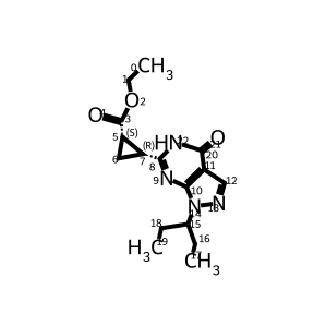 CCOC(=O)[C@H]1C[C@H]1c1nc2c(cnn2C(CC)CC)c(=O)[nH]1